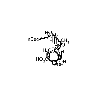 CCCCCCCCCCCCCCCC(=O)N[C@H](CO)C(=O)NCCC(C)C(=O)NCC(=O)N[C@@H]1C(=O)N[C@@H](C)C(=O)N[C@H](C(=O)O)CC2=CC[C@H](O)C(=C2)C2=C(O)C=C[C@H]1C2